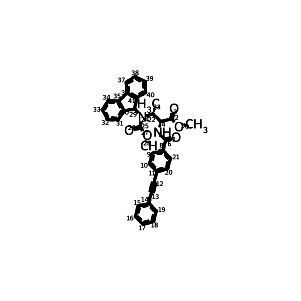 COC(=O)[C@@H](NC(=O)c1ccc(C#Cc2ccccc2)cc1)[C@H](C)N(C(=O)OC)C1c2ccccc2-c2ccccc21